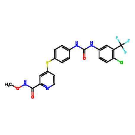 CONC(=O)c1cc(Sc2ccc(NC(=O)Nc3ccc(Cl)c(C(F)(F)F)c3)cc2)ccn1